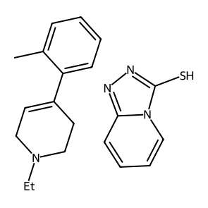 CCN1CC=C(c2ccccc2C)CC1.Sc1nnc2ccccn12